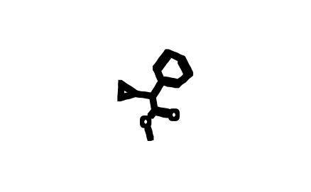 COC(=O)C(c1ccccc1)C1CC1